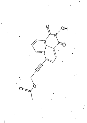 CC(=O)OCC#Cc1ccc2c3c(cccc13)C(=O)N(O)C2=O